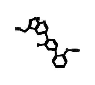 CNSc1ccccc1-c1ccc(-c2cnc3[nH]cc(CO)c3c2)c(F)c1